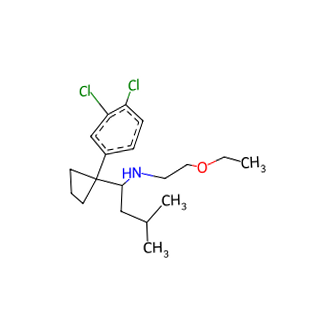 CCOCCNC(CC(C)C)C1(c2ccc(Cl)c(Cl)c2)CCC1